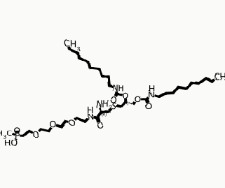 CCCCCCCCCCNC(=O)OC[C@H](CSC[C@H](N)C(=O)NCCOCCOCCOCCP(C)(=O)O)OC(=O)NCCCCCCCCCC